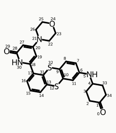 O=C1CCC(Nc2ccc3c(c2)Sc2cccc(-c4cc(N5CCOCC5)cc(=O)[nH]4)c2S3)CC1